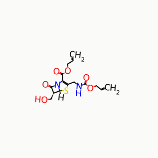 C=CCOC(=O)NCC1=C(C(=O)OCC=C)N2C(=O)[C@H](CO)[C@H]2S1